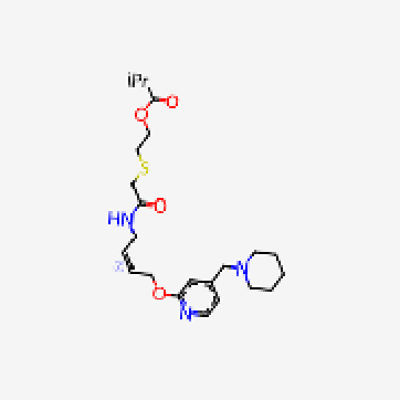 CC(C)C(=O)OCCSCC(=O)NC/C=C\COc1cc(CN2CCCCC2)ccn1